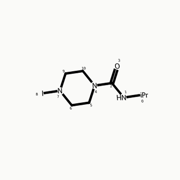 CC(C)NC(=O)N1CCN(I)CC1